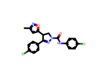 Cc1cc(C2CN(C(=O)Nc3ccc(Cl)cc3)N=C2c2ccc(Cl)cc2)on1